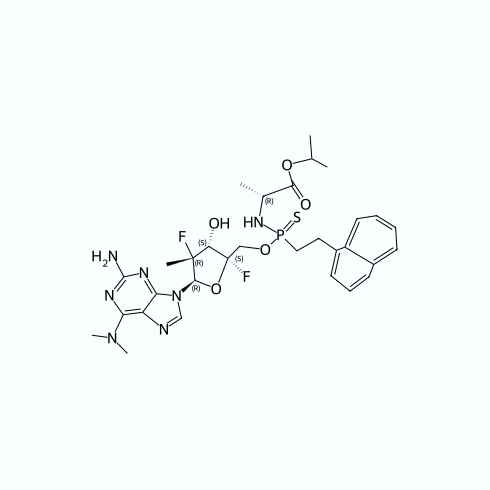 CC(C)OC(=O)[C@@H](C)NP(=S)(CCc1cccc2ccccc12)OC[C@@]1(F)O[C@@H](n2cnc3c(N(C)C)nc(N)nc32)[C@](C)(F)[C@@H]1O